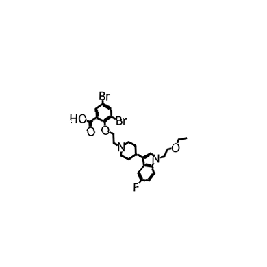 CCOCCn1cc(C2CCN(CCOc3c(Br)cc(Br)cc3C(=O)O)CC2)c2cc(F)ccc21